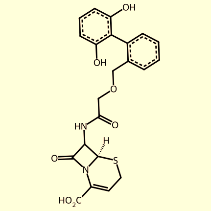 O=C(COCc1ccccc1-c1c(O)cccc1O)NC1C(=O)N2C(C(=O)O)=CCS[C@H]12